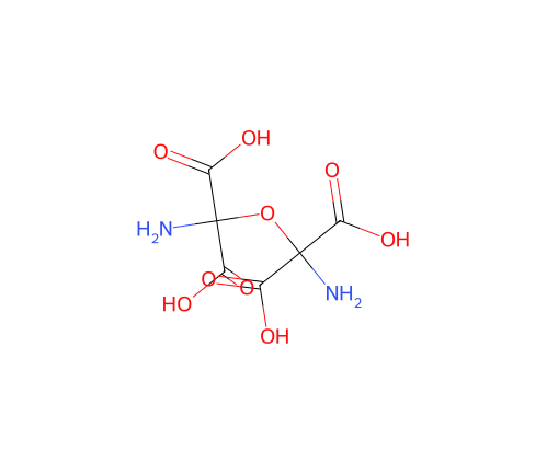 NC(OC(N)(C(=O)O)C(=O)O)(C(=O)O)C(=O)O